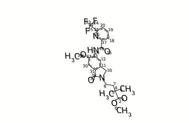 COC(=O)C(C)(C)CCN1Cc2cc(NC(=O)c3cccc(C(F)(F)F)n3)c(OC)cc2C1=O